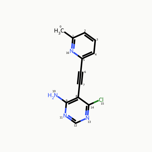 Cc1cccc(C#Cc2c(N)ncnc2Cl)n1